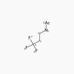 CC(=O)[N]CCC(F)(F)F